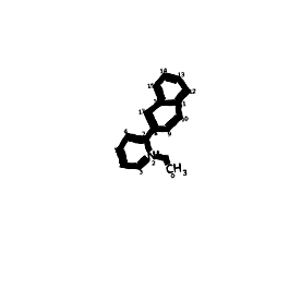 CC[n+]1ccccc1-c1ccc2ccccc2c1